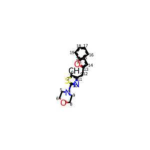 Cc1sc(N2CCOCC2)nc1Cc1cc2ccccc2o1